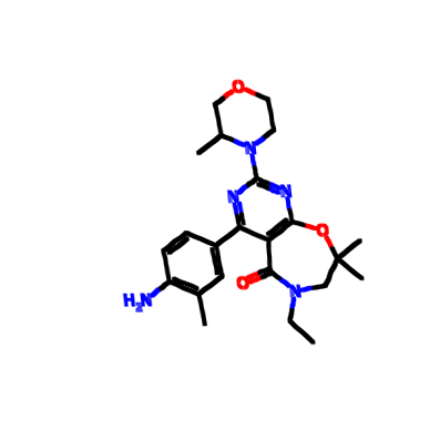 CCN1CC(C)(C)Oc2nc(N3CCOCC3C)nc(-c3ccc(N)c(C)c3)c2C1=O